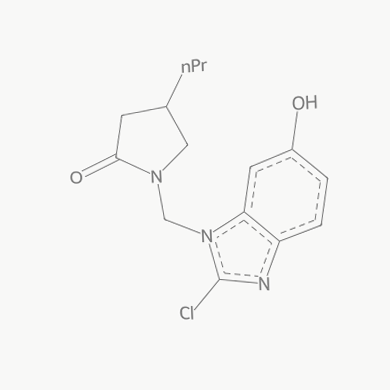 CCCC1CC(=O)N(Cn2c(Cl)nc3ccc(O)cc32)C1